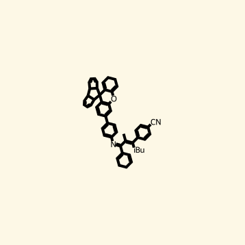 CCC(C)/C(=C(C)\C(=N/c1ccc(-c2ccc3c(c2)OC2=CCCC=C2C32C3C=CC=CC3C3C=CC=CC32)cc1)C1=CCCC=C1)c1ccc(C#N)cc1